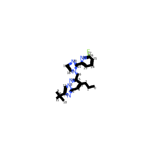 CCCc1cc2nc(C(C)(C)C)cn2nc1Cn1ccnc1-c1cccc(F)n1